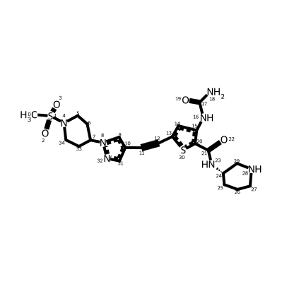 CS(=O)(=O)N1CCC(n2cc(C#Cc3cc(NC(N)=O)c(C(=O)N[C@H]4CCCNC4)s3)cn2)CC1